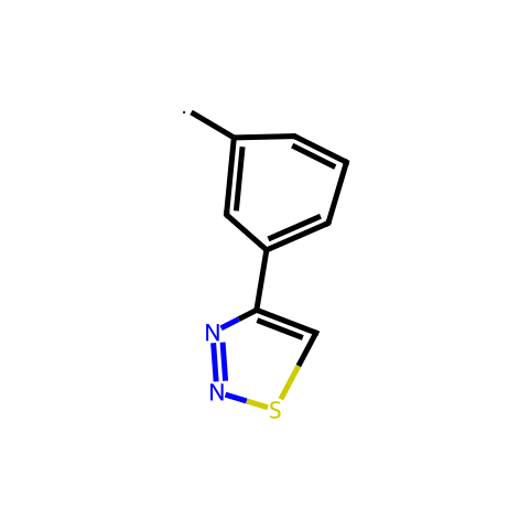 [CH2]c1cccc(-c2csnn2)c1